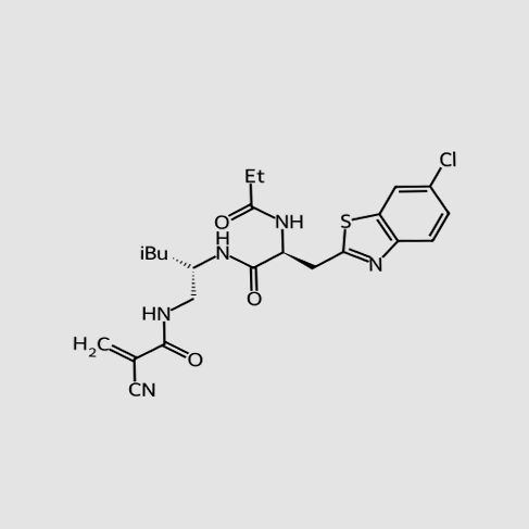 C=C(C#N)C(=O)NC[C@@H](NC(=O)[C@H](Cc1nc2ccc(Cl)cc2s1)NC(=O)CC)[C@@H](C)CC